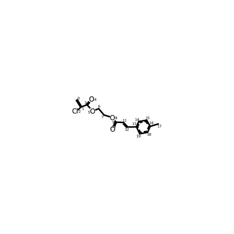 C=C(Cl)C(=O)OCCOC(=O)/C=C/c1ccc(C)cc1